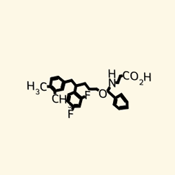 Cc1ccc(CC(CCCOC(NCCC(=O)O)c2ccccc2)c2ccc(F)cc2F)cc1C